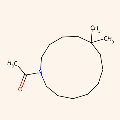 CC(=O)N1CCCCCCCC(C)(C)CCCC1